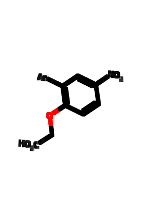 CC(=O)c1cc([N+](=O)[O-])ccc1OCC(=O)O